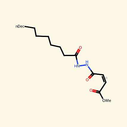 CCCCCCCCCCCCCCCCC(=O)NNC(=O)/C=C\C(=O)OC